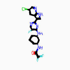 O=C(N[C@@H]1CCC[C@H](Nc2nc(-c3c[nH]c4ncc(Cl)cc34)ncc2F)C1)C(F)F